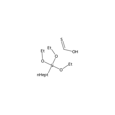 CCCCCCC[Si](OCC)(OCC)OCC.OC=S